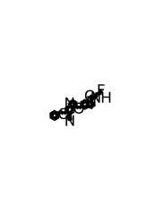 N#Cc1cc2c(Oc3ccc4c(ccn4C(=O)NCCF)c3)ccnc2cc1OCc1ccccc1